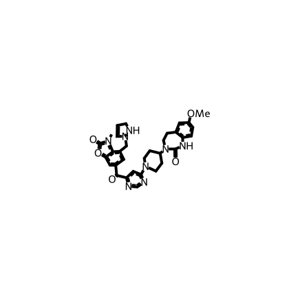 COc1ccc2c(c1)CCN(C1CCN(c3cc(C(=O)c4cc(CN5C=CCN5)c5c(c4)oc(=O)n5C)ncn3)CC1)C(=O)N2